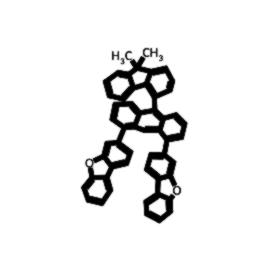 CC1(C)c2ccccc2-c2c(-c3c4cccc(-c5ccc6c(c5)oc5ccccc56)c4cc4c(-c5ccc6c(c5)oc5ccccc56)cccc34)cccc21